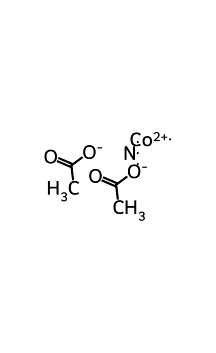 CC(=O)[O-].CC(=O)[O-].[Co+2].[N]